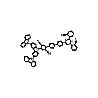 N#Cc1cc(-n2c3ccc(-n4c5ccccc5c5ccccc54)cc3c3cc(-n4c5ccccc5c5ccccc54)ccc32)c(C#N)cc1-c1ccc(-c2ccc(-c3cc(-c4ccccc4C#N)nc(-c4ccccc4C#N)n3)cc2)cc1